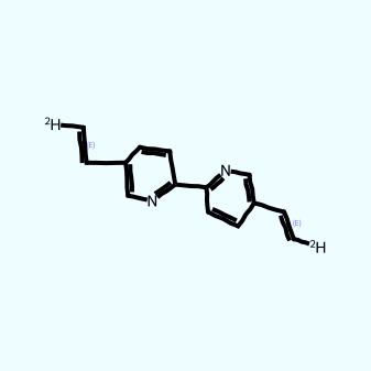 [2H]/C=C/c1ccc(-c2ccc(/C=C/[2H])cn2)nc1